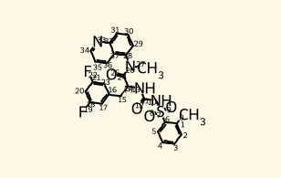 Cc1ccccc1S(=O)(=O)NC(=O)N[C@@H](Cc1cc(F)cc(F)c1)C(=O)N(C)c1cccc2ncccc12